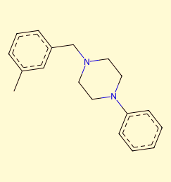 Cc1cccc(CN2CCN(c3ccccc3)CC2)c1